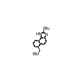 CC(C)(C)Cc1cccc2c1ccc1nc(C(C)(C)C)[nH]c12